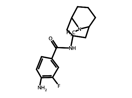 CN1C2CCCC1CC(NC(=O)c1ccc(N)c(F)c1)C2